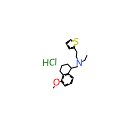 CCN(CCc1cccs1)CC1CCCc2c(OC)cccc21.Cl